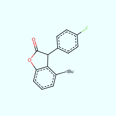 CC(C)(C)c1cccc2c1C(c1ccc(F)cc1)C(=O)O2